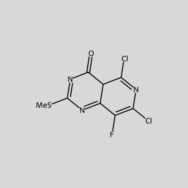 CSC1=NC(=O)C2C(Cl)=NC(Cl)=C(F)C2=N1